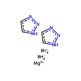 [BH4-].[BH4-].[Mg+2].c1c[nH]nn1.c1c[nH]nn1